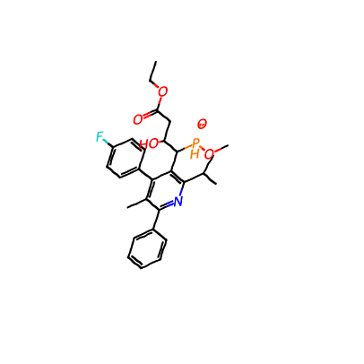 CCOC(=O)CC(O)C(c1c(C(C)C)nc(-c2ccccc2)c(C)c1-c1ccc(F)cc1)[PH](=O)OC